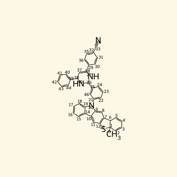 CC12C=CC=CC1c1cc3c(cc1S2)c1ccccc1n3-c1cccc(C2NC(c3ccc(C#N)cc3)=CC(c3ccccc3)N2)c1